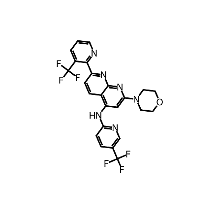 FC(F)(F)c1ccc(Nc2cc(N3CCOCC3)nc3nc(-c4ncccc4C(F)(F)F)ccc23)nc1